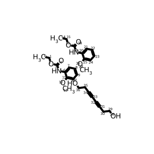 CCOC(=O)Nc1ccccc1OC.CCOC(=O)Nc1ccccc1OC.OCCC#CC#CCCO